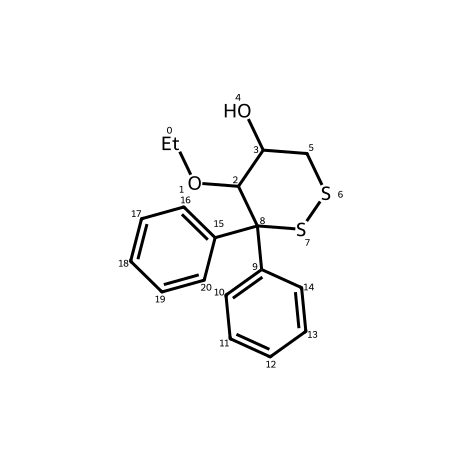 CCOC1C(O)CSSC1(c1ccccc1)c1ccccc1